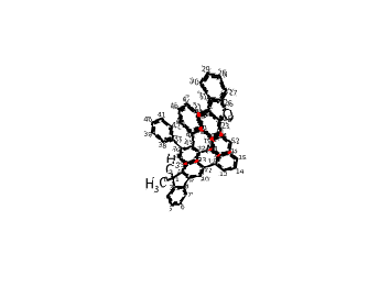 CC1(C)c2ccccc2-c2cc(-c3ccccc3N(c3ccc4c(c3)oc3ccccc34)c3cccc(-c4ccccc4)c3-c3ccccc3-c3ccccc3)ccc21